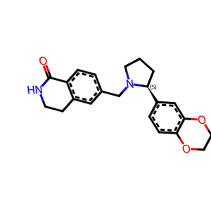 O=C1NCCc2cc(CN3CCC[C@H]3c3ccc4c(c3)OCCO4)ccc21